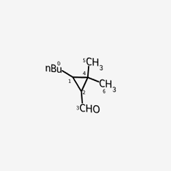 CCCCC1C(C=O)C1(C)C